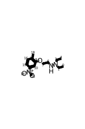 CCN(CC)NCCOc1cc([N+](=O)[O-])ccc1C